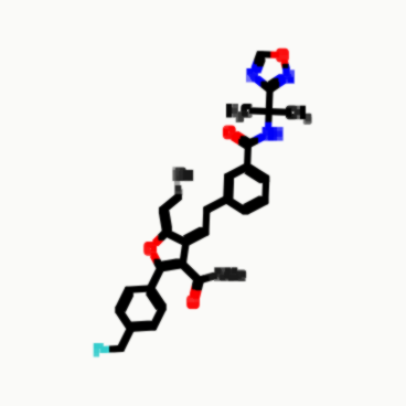 CC[C@@H](C)C/C=c1/oc(-c2ccc(CF)cc2)c(C(=O)NC)/c1=C/Cc1cccc(C(=O)NC(C)(C)c2ncon2)c1